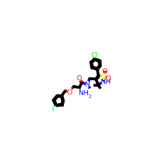 CN(CC1=C(c2ccc(Cl)cc2)S(=O)(=O)NC1(C)C)C(=O)[C@H](N)COCc1ccc(F)cc1